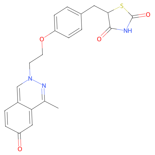 Cc1nn(CCOc2ccc(CC3SC(=O)NC3=O)cc2)cc2ccc(=O)cc1-2